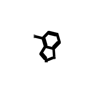 Ic1cccc2sncc12